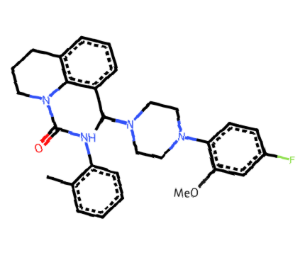 COc1cc(F)ccc1N1CCN(C(C)c2cccc3c2N(C(=O)Nc2ccccc2C)CCC3)CC1